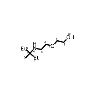 CCC(C)(CC)NCCOCCO